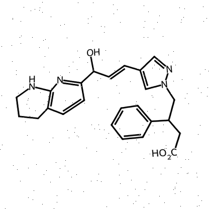 O=C(O)CC(Cn1cc(C=CC(O)c2ccc3c(n2)NCCC3)cn1)c1ccccc1